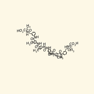 CC(NC(=O)Cc1cccc(NC(=O)c2cc(NC(=O)c3cc(NC(=O)Nc4cc(C(=O)Nc5cc(C(=O)Nc6cccc(CC(=O)NC(C)C(=O)O)c6)n(C)c5)n(C)c4)cn3C)cn2C)c1)C(=O)O